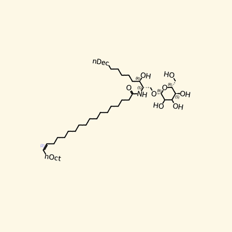 CCCCCCCC/C=C\CCCCCCCCCCCCCCCC(=O)N[C@@H](CO[C@@H]1O[C@H](CO)[C@@H](O)C(O)C1O)[C@H](O)CCCCCCCCCCCCCCC